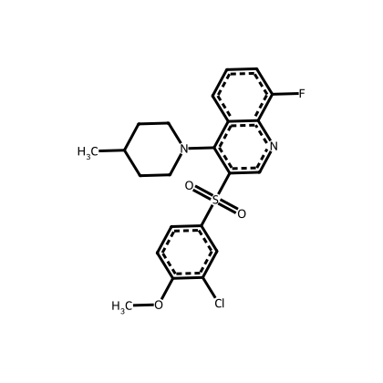 COc1ccc(S(=O)(=O)c2cnc3c(F)cccc3c2N2CCC(C)CC2)cc1Cl